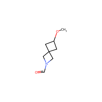 COC1CC2(C1)CN(C=O)C2